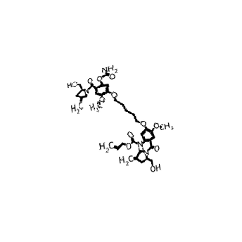 C=CCOC(=O)Nc1cc(OCCCCCOc2cc(OC(N)=O)c(C(=O)N3CC(=C)CC3CO)cc2OC)c(OC)cc1C(=O)N1CC(=C)CC1CO